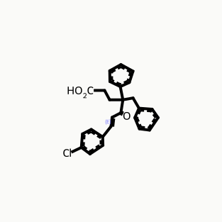 O=C(O)CCC(Cc1ccccc1)(C(=O)/C=C/c1ccc(Cl)cc1)c1ccccc1